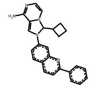 NC1=NC=CN2C1=CN(c1ccc3ccc(-c4ccccc4)nc3c1)C2C1CCC1